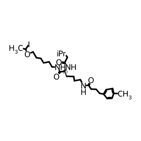 Cc1ccc(CCCC(=O)NCCCC[C@H](NC(=O)CC(C)C)C(=O)NCCCCCCOC(C)I)cc1